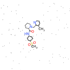 Cc1cccnc1CN1CCCC[C@@H]1C(=O)Nc1ccc(S(C)(=O)=O)cc1